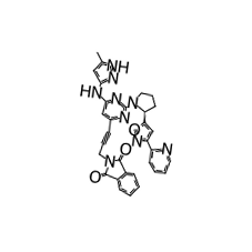 Cc1cc(Nc2cc(C#CCN3C(=O)c4ccccc4C3=O)nc(N3CCC[C@H]3c3cc(-c4ccccn4)no3)n2)n[nH]1